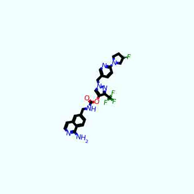 Nc1nccc2cc(CNC(=O)Oc3cn(Cc4ccc(N5CC[C@@H](F)C5)nc4)nc3C(F)(F)F)ccc12